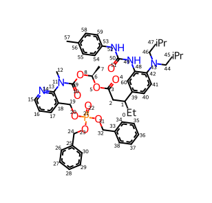 CCC(CC(=O)O[C@H](C)OC(=O)N(C)c1ncccc1COP(=O)(OCc1ccccc1)OCc1ccccc1)c1ccc(N(CC(C)C)CC(C)C)c(NC(=O)Nc2ccc(C)cc2)c1